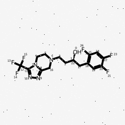 O[C@H](CCN1CCn2c(nnc2C(F)(F)F)C1)Cc1cc(F)c(F)cc1F